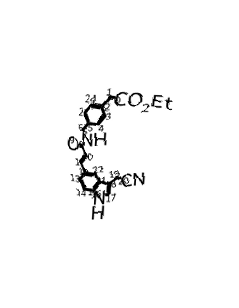 CCOC(=O)Cc1ccc(CNC(=O)C=Cc2ccc3[nH]cc(CC#N)c3c2)cc1